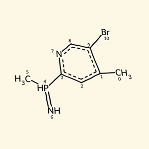 Cc1cc([PH](C)=N)ncc1Br